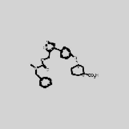 CN(Cc1ccccc1)C(=O)OCc1oncc1-c1ccc(O[C@H]2CCC[C@H](C(=O)O)C2)cc1